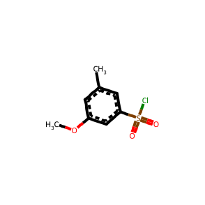 COc1cc(C)cc(S(=O)(=O)Cl)c1